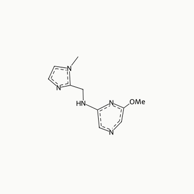 COc1cncc(NCc2nccn2C)n1